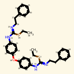 CCSC(=NCCc1ccccc1)Nc1ccc(Oc2ccc(NC(=NCCc3ccccc3)SCC)cc2)cc1